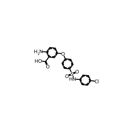 Nc1ccc(Oc2ccc(S(=O)(=O)Nc3ccc(Cl)cc3)cc2)cc1C(=O)O